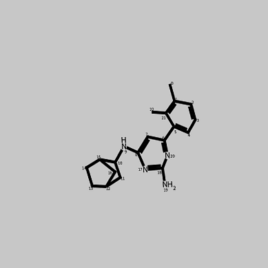 Cc1cccc(-c2cc(NC3CC4CCC3C4)nc(N)n2)c1C